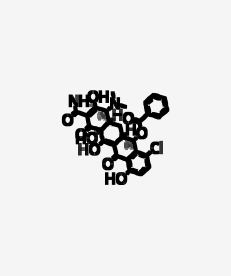 CN(C)[C@@H]1C(O)=C(C(N)=O)C(=O)[C@@]2(O)C(O)=C3C(=O)c4c(O)ccc(Cl)c4[C@H](OC(=O)c4ccccc4)[C@H]3C[C@@H]12